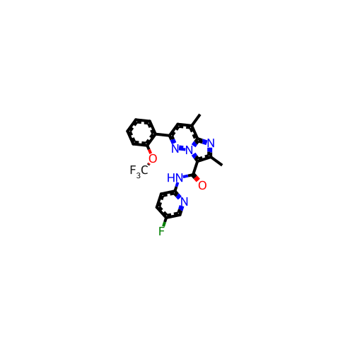 Cc1nc2c(C)cc(-c3ccccc3OC(F)(F)F)nn2c1C(=O)Nc1ccc(F)cn1